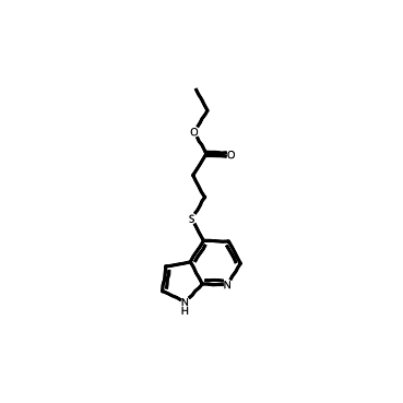 CCOC(=O)CCSc1ccnc2[nH]ccc12